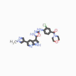 Cn1cc(-c2cnc3[nH]cc(C4NN=C(Nc5ccc(C(=O)N6CCOCC6)cc5Cl)O4)c3c2)cn1